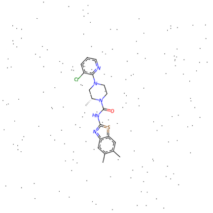 Cc1cc2nc(NC(=O)N3CCN(c4ncccc4Cl)C[C@H]3C)sc2cc1C